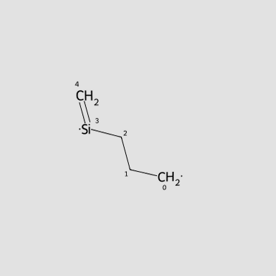 [CH2]CC[Si]=C